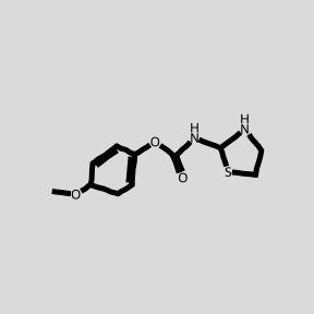 COC1C=CC(OC(=O)NC2NCCS2)=CC1